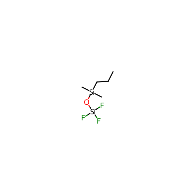 CCC[Si](C)(C)O[Si](F)(F)F